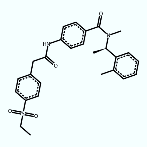 CCS(=O)(=O)c1ccc(CC(=O)Nc2ccc(C(=O)N(C)[C@H](C)c3ccccc3C)cc2)cc1